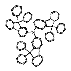 C1=CC2c3ccc(N(c4ccc5c(c4)C(c4ccccc4)(c4ccccc4)c4ccccc4-5)c4ccc5c(c4)C(c4ccccc4)(c4ccccc4)c4ccccc4-5)cc3C(c3ccccc3)(c3ccccc3)C2C=C1